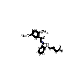 COc1ccc(OC)c(C(=O)/C=C/c2ccccc2NCCCN(C)C)c1